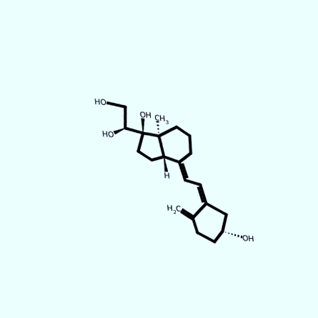 C=C1CC[C@@H](O)C/C1=C/C=C1\CCC[C@@]2(C)[C@H]1CC[C@]2(O)[C@@H](O)CO